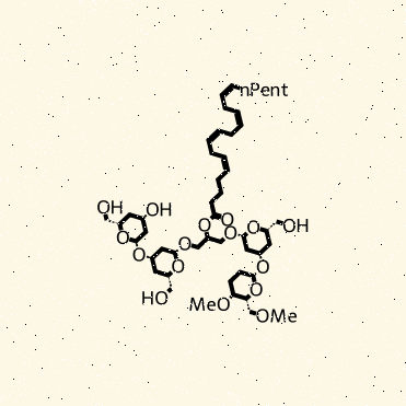 CCCCC/C=C\C/C=C\C/C=C\C/C=C\CCCC(=O)OC(CO[C@H]1C[C@@H](O[C@H]2C[C@@H](O)C[C@@H](CO)O2)C[C@@H](CO)O1)CO[C@H]1C[C@@H](O[C@H]2CC[C@H](OC)[C@@H](COC)O2)C[C@@H](CO)O1